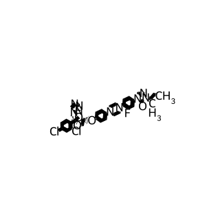 CCC(C)n1ncn(-c2ccc(N3CCN(c4ccc(OC[C@@H]5CO[C@@](Cn6cnnn6)(c6ccc(Cl)cc6Cl)O5)cc4)CC3)c(F)c2)c1=O